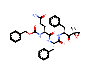 C[C@]1(C(=O)[C@H](Cc2ccccc2)NC(=O)[C@H](Cc2ccccc2)NC(=O)[C@H](CCC(N)=O)NC(=O)OCc2ccccc2)CO1